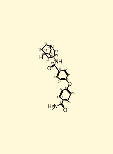 NC(=O)c1ccc(Oc2ccc(C(=O)N[C@@H]3C[C@H]4CCN(C4)C3)cc2)cc1